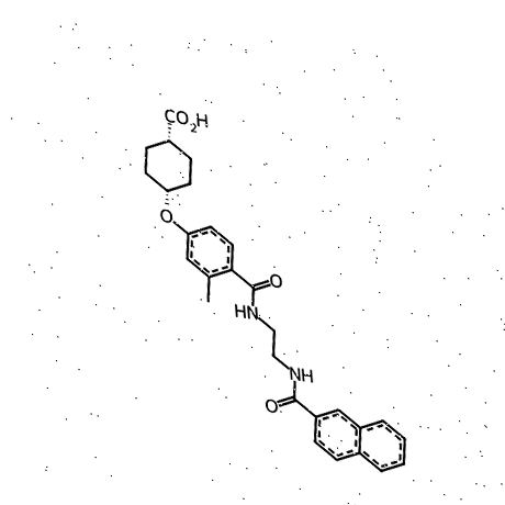 Cc1cc(O[C@H]2CC[C@@H](C(=O)O)CC2)ccc1C(=O)NCCNC(=O)c1ccc2ccccc2c1